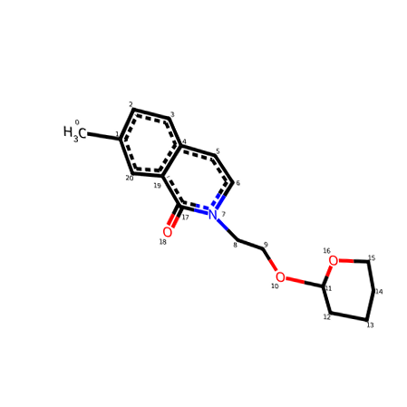 Cc1ccc2ccn(CCOC3CCCCO3)c(=O)c2c1